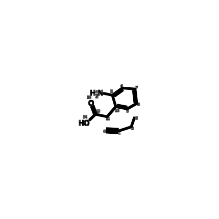 C#CCC.Nc1ccccc1CC(=O)O